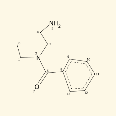 CCN(CCN)C(=O)c1ccccc1